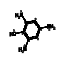 Nc1cc(N)c(O)c(N)c1